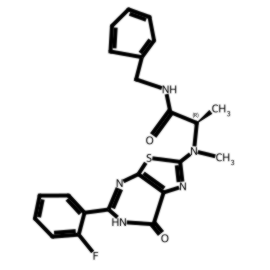 C[C@H](C(=O)NCc1ccccc1)N(C)c1nc2c(=O)[nH]c(-c3ccccc3F)nc2s1